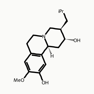 COc1cc2c(cc1O)[C@@H]1C[C@@H](O)[C@H](CC(C)C)CN1CC2